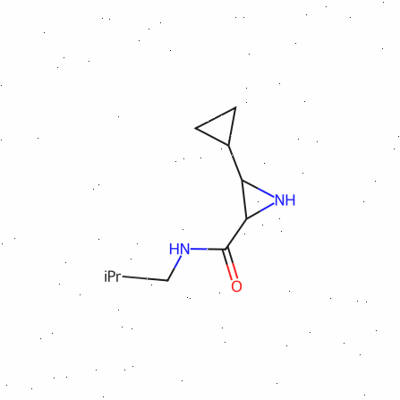 CC(C)CNC(=O)C1NC1C1CC1